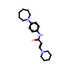 O=C(C=CN1CCCCC1)Nc1ccc(N2CCCCCC2)cc1